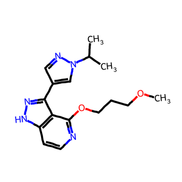 COCCCOc1nccc2[nH]nc(-c3cnn(C(C)C)c3)c12